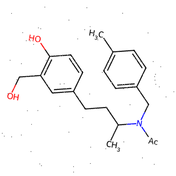 CC(=O)N(Cc1ccc(C)cc1)C(C)CCc1ccc(O)c(CO)c1